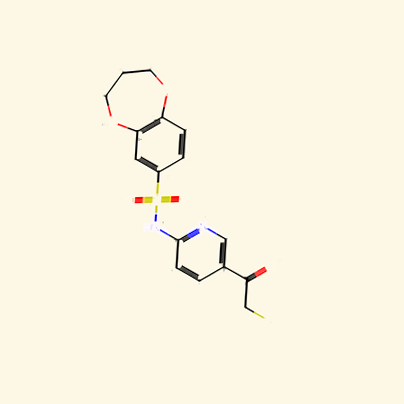 O=C(CS)c1ccc(NS(=O)(=O)c2ccc3c(c2)OCCCO3)nc1